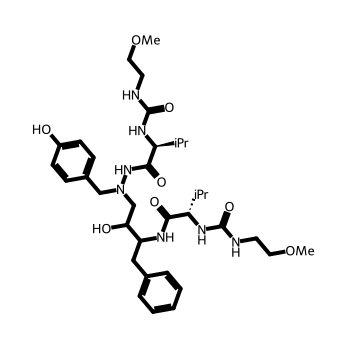 COCCNC(=O)N[C@H](C(=O)NC(Cc1ccccc1)C(O)CN(Cc1ccc(O)cc1)NC(=O)[C@@H](NC(=O)NCCOC)C(C)C)C(C)C